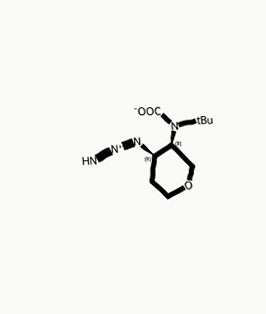 CC(C)(C)N(C(=O)[O-])[C@H]1COCC[C@H]1N=[N+]=N